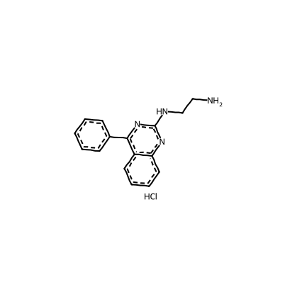 Cl.NCCNc1nc(-c2ccccc2)c2ccccc2n1